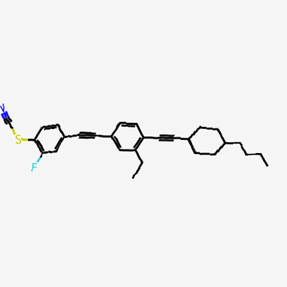 CCCCC1CCC(C#Cc2ccc(C#Cc3ccc(SC#N)c(F)c3)cc2CC)CC1